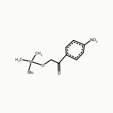 CC(C)(C)[Si](C)(C)OCC(=O)c1ccc([N+](=O)[O-])cc1